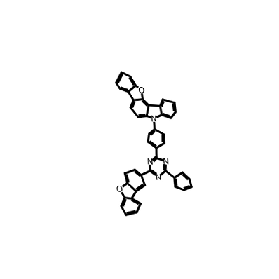 c1ccc(-c2nc(-c3ccc(-n4c5ccccc5c5c6oc7ccccc7c6ccc54)cc3)nc(-c3ccc4oc5ccccc5c4c3)n2)cc1